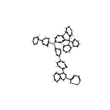 C1=CCCC(c2cc(-c3ccc(-c4ccc(N(c5ccc(-c6ccccc6)cc5)c5ccc6c(c5)C(c5ccccc5)(c5ccccc5)c5ccccc5-6)cc4)cc3)c3ccccc3c2)=C1